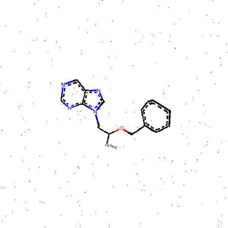 CCCCCCC(Cn1cnc2cncnc21)OCc1ccccc1